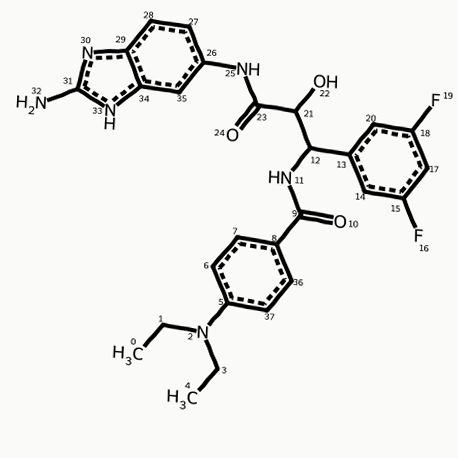 CCN(CC)c1ccc(C(=O)NC(c2cc(F)cc(F)c2)C(O)C(=O)Nc2ccc3nc(N)[nH]c3c2)cc1